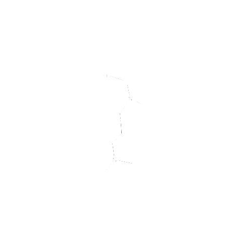 CC(C)SN(C)CCCN(C)C